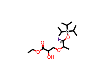 CCOC(=O)C(O)COC(C)[C@@H](I)O[Si](C(C)C)(C(C)C)C(C)C